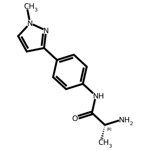 C[C@@H](N)C(=O)Nc1ccc(-c2ccn(C)n2)cc1